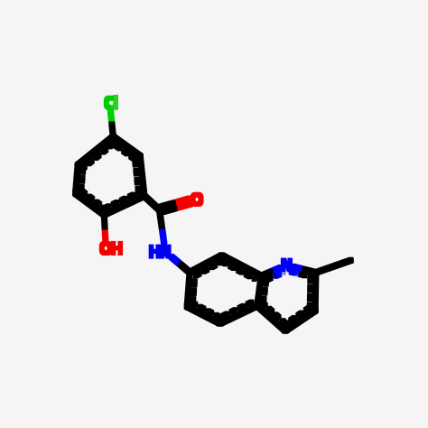 Cc1ccc2ccc(NC(=O)c3cc(Cl)ccc3O)cc2n1